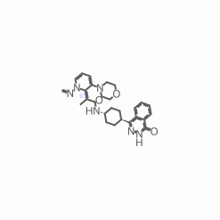 C=NN1C=CC=C(N2CCOCC2)/C1=C(/C)C(=O)N[C@H]1CC[C@H](c2n[nH]c(=O)c3ccccc32)CC1